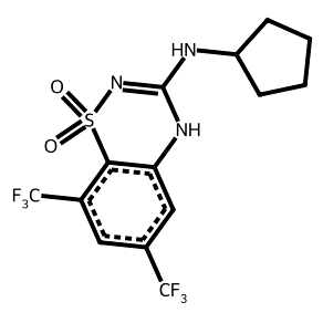 O=S1(=O)N=C(NC2CCCC2)Nc2cc(C(F)(F)F)cc(C(F)(F)F)c21